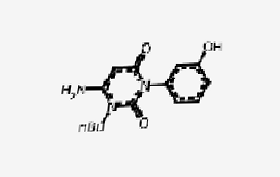 CCCCn1c(N)cc(=O)n(-c2cccc(O)c2)c1=O